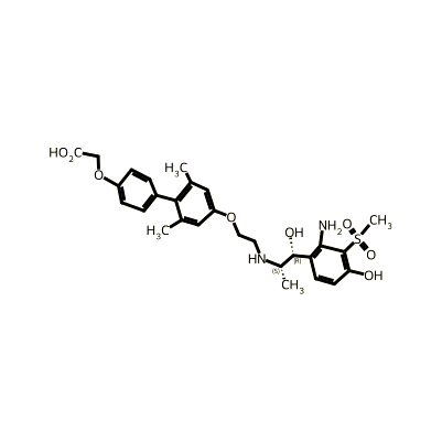 Cc1cc(OCCN[C@@H](C)[C@H](O)c2ccc(O)c(S(C)(=O)=O)c2N)cc(C)c1-c1ccc(OCC(=O)O)cc1